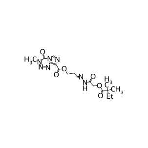 CCC(C)(C)C(=O)OCC(=O)N/N=C/CCOC(=O)c1ncn2c(=O)n(C)nnc12